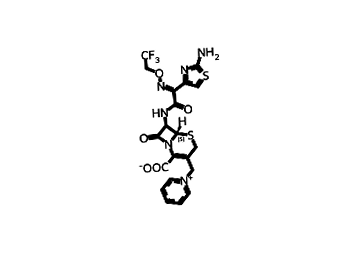 Nc1nc(C(=NOCC(F)(F)F)C(=O)NC2C(=O)N3C(C(=O)[O-])=C(C[n+]4ccccc4)CS[C@@H]23)cs1